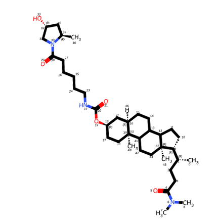 C[C@H](CCC(=O)N(C)C)[C@H]1CCC2C3CC[C@@H]4C[C@H](OC(=O)NCCCCCC(=O)N5C[C@H](O)C[C@H]5C)CC[C@]4(C)C3CC[C@@]21C